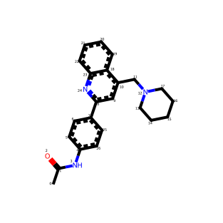 CC(=O)Nc1ccc(-c2cc(CN3CCCCC3)c3ccccc3n2)cc1